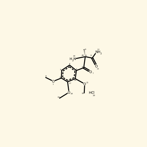 COc1ccc(C(=O)[C@@](C)(N)C(N)=O)c(OC)c1OC.Cl